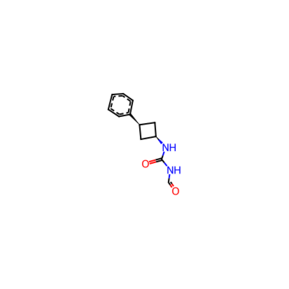 O=CNC(=O)N[C@H]1C[C@@H](c2ccccc2)C1